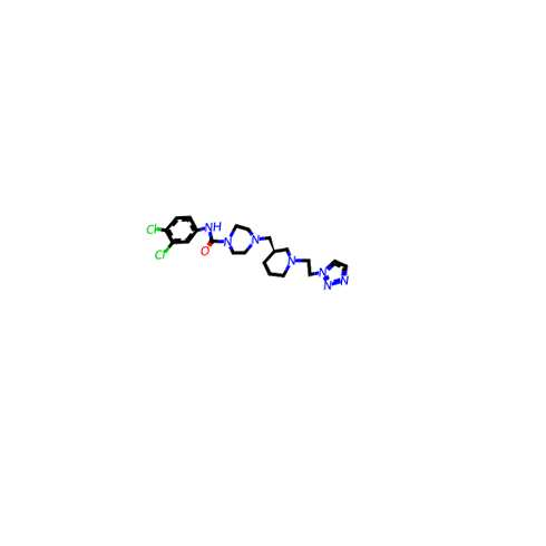 O=C(Nc1ccc(Cl)c(Cl)c1)N1CCN(C[C@@H]2CCCN(CCn3ccnn3)C2)CC1